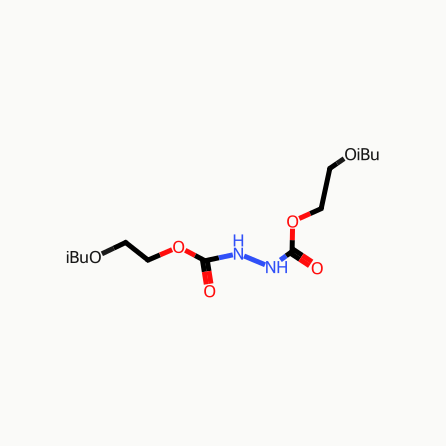 CC(C)COCCOC(=O)NNC(=O)OCCOCC(C)C